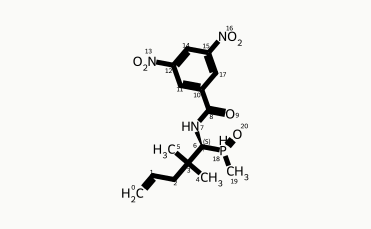 C=CCC(C)(C)[C@@H](NC(=O)c1cc([N+](=O)[O-])cc([N+](=O)[O-])c1)[PH](C)=O